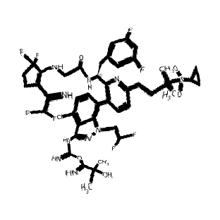 CC(C)(O)C(=N)OC(=N)Nc1nn(CC(F)F)c2c(-c3ccc(CCC(C)(C)S(=O)(=O)C4CC4)nc3[C@H](Cc3cc(F)cc(F)c3)NC(=O)CNC3=C(C(=N)C(F)F)CCC3(F)F)ccc(Cl)c12